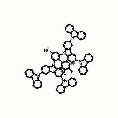 N#Cc1cc(-n2c3ccc(-n4c5ccccc5c5ccccc54)cc3c3cc(-n4c5ccccc5c5ccccc54)ccc32)c(-c2c(F)c(F)c(F)c(F)c2F)c(-n2c3ccc(-n4c5ccccc5c5ccccc54)cc3c3cc(-n4c5ccccc5c5ccccc54)ccc32)c1